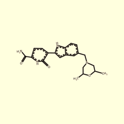 CC1CN(Cc2ccc3[nH]c(-c4c[c]c(C(N)=O)[nH]c4=O)cc3c2)CC(C)O1